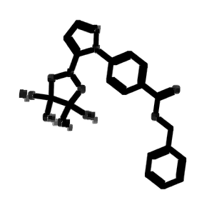 CC1(C)OB(c2ccnn2-c2ccc(C(=O)OCc3ccccc3)cc2)OC1(C)C